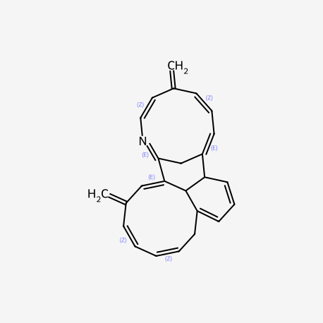 C=C1/C=C\C=C2/CC(=N\C=C/1)/C1=C/C(=C)/C=C\C=C/CC3=CC=CC2C31